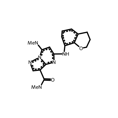 CNC(=O)c1cnn2c(NC)cc(Nc3cccc4c3OCCC4)nc12